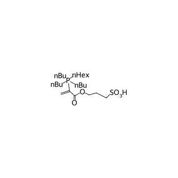 C=C(C(=O)OCCCS(=O)(=O)O)P(CCCC)(CCCC)(CCCC)CCCCCC